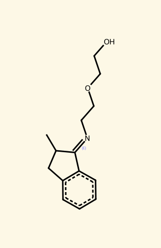 CC1Cc2ccccc2/C1=N/CCOCCO